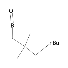 CCCCCC(C)(C)CB=O